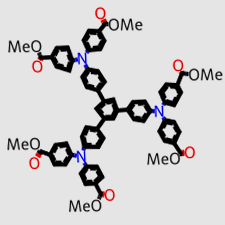 COC(=O)c1ccc(N(c2ccc(C(=O)OC)cc2)c2ccc(-c3cc(-c4ccc(N(c5ccc(C(=O)OC)cc5)c5ccc(C(=O)OC)cc5)cc4)cc(-c4ccc(N(c5ccc(C(=O)OC)cc5)c5ccc(C(=O)OC)cc5)cc4)c3)cc2)cc1